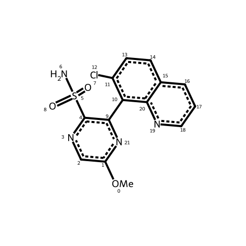 COc1cnc(S(N)(=O)=O)c(-c2c(Cl)ccc3cccnc23)n1